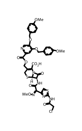 CO/N=C(\C(=O)N[C@@H]1C(=O)N2C(C(=O)O)=C(COC(=O)c3cc(OCc4ccc(OC)cc4)c(OCc4ccc(OC)cc4)cn3)CS[C@H]12)c1csc(NC(=O)CCl)n1